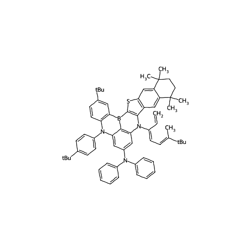 C=C/C(=C\C=C(/C)C(C)(C)C)N1c2cc(N(c3ccccc3)c3ccccc3)cc3c2B(c2cc(C(C)(C)C)ccc2N3c2ccc(C(C)(C)C)cc2)c2sc3cc4c(cc3c21)C(C)(C)CCC4(C)C